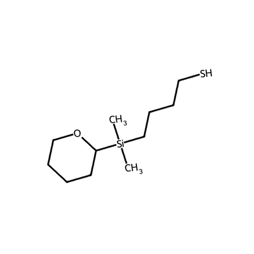 C[Si](C)(CCCCS)C1CCCCO1